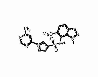 COc1ccc2cnn(C)c2c1NS(=O)(=O)c1cnn(-c2cc(C(F)(F)F)ncn2)c1